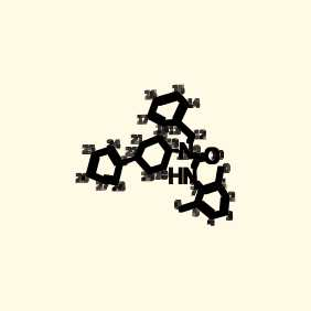 Cc1cccc(C)c1NC(=O)N(Cc1ccccc1)[C@H]1CC[C@H](c2ccccc2)CC1